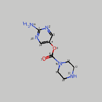 Nc1ncc(OC(=O)N2CCNCC2)cn1